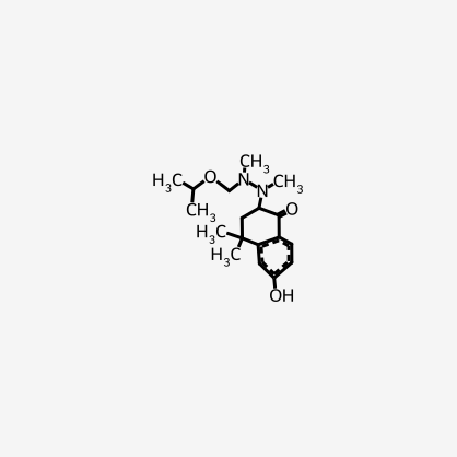 CC(C)OCN(C)N(C)C1CC(C)(C)c2cc(O)ccc2C1=O